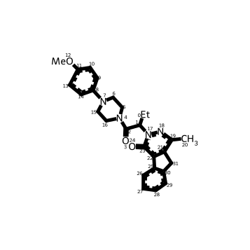 CCC(C(=O)N1CCN(c2ccc(OC)cc2)CC1)n1nc(C)c2c(c1=O)-c1ccccc1C2